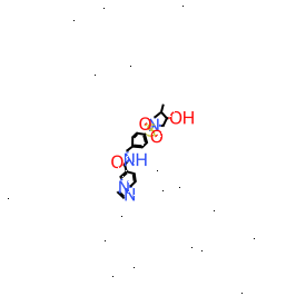 CC1CN(S(=O)(=O)c2ccc(CNC(=O)c3ccc4nccn4c3)cc2)CC1O